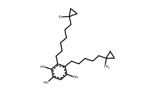 CCC1(CCCCCCc2c(O)c(O)cc(O)c2CCCCCC2(C)CC2)CC1